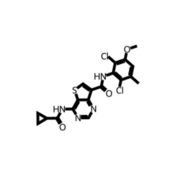 COc1cc(C)c(Cl)c(NC(=O)c2csc3c(NC(=O)C4CC4)ncnc23)c1Cl